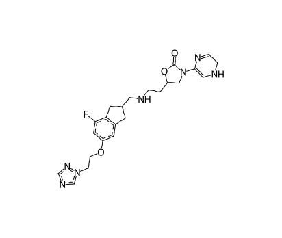 O=C1OC(CCNCC2Cc3cc(OCCn4cncn4)cc(F)c3C2)CN1C1=CNCC=N1